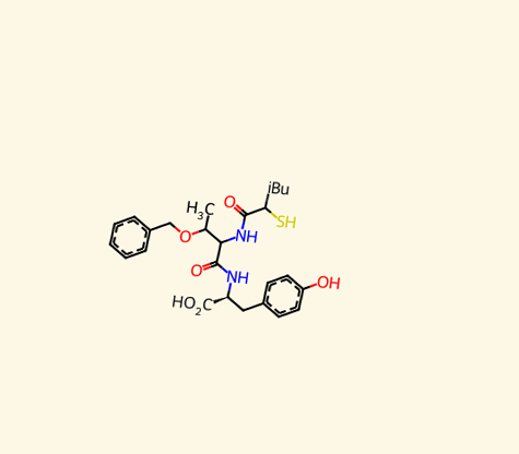 CCC(C)C(S)C(=O)NC(C(=O)N[C@@H](Cc1ccc(O)cc1)C(=O)O)C(C)OCc1ccccc1